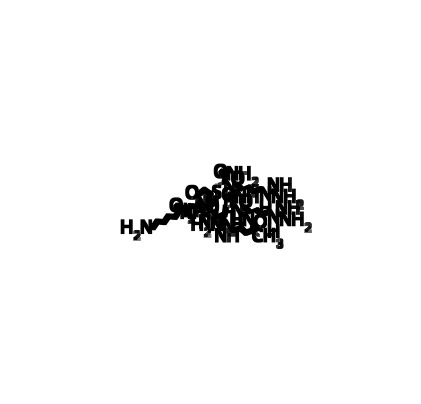 C[C@H](CCCNC(=N)N)C(=O)N[C@H](CCCNC(=N)N)C(=O)N[C@H](CCCNC(=N)N)C(=O)N[C@H](CCCNC(=N)N)C(=O)N[C@H](CSC1CC(=O)N(CCNC(=O)CCCCCN)C1=O)C(N)=O